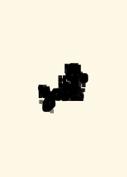 COc1cc(N2C[C@@H](C)O[C@@H](C)C2)c(-c2cnn(C)c2)cc1Nc1ncc(Br)c(Nc2ccc3nccnc3c2P(C)(C)=O)n1